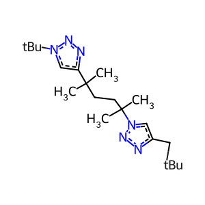 CC(C)(C)Cc1cn(C(C)(C)CCC(C)(C)c2cn(C(C)(C)C)nn2)nn1